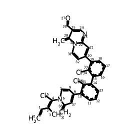 C=C/C(C)=C(\Cl)N1C=CC(c2cccc(-c3cccc(C4=CC5=NC=C(C=O)C(=C)N5C=C4)c3Cl)c2Cl)=CC1=C